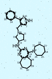 c1ccc(-c2n[nH]cc2CN2CCC(Nc3nc4c(c(N5CCCCCC5)n3)CCCCC4)C2)cc1